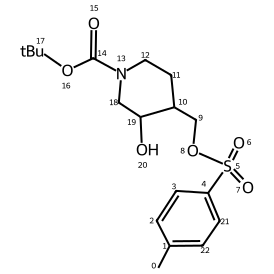 Cc1ccc(S(=O)(=O)OCC2CCN(C(=O)OC(C)(C)C)CC2O)cc1